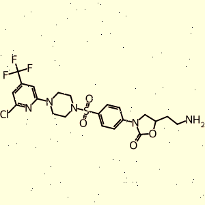 NCCC1CN(c2ccc(S(=O)(=O)N3CCN(c4cc(C(F)(F)F)cc(Cl)n4)CC3)cc2)C(=O)O1